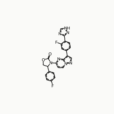 O=C1OCC(c2ccc(F)cc2)N1c1ccn2ncc(-c3ccc(-c4nc[nH]n4)c(F)c3)c2n1